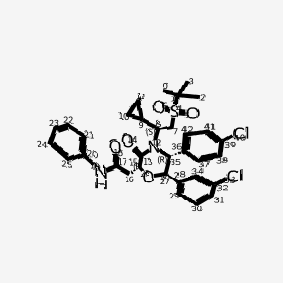 CC(C)(C)S(=O)(=O)C[C@H](C1CC1)N1C(=O)[C@@H](CC(=O)Nc2ccccc2)O[C@H](c2cccc(Cl)c2)[C@H]1c1ccc(Cl)cc1